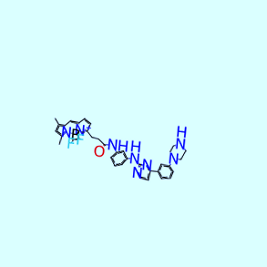 Cc1cc(C)n2c1C=C1C=CC(CCC(=O)Nc3cccc(Nc4nccc(-c5cccc(N6CCNCC6)c5)n4)c3)=[N+]1[B-]2(F)F